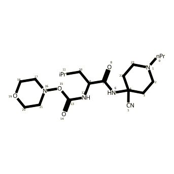 CCCN1CCC(C#N)(NC(=O)C(CC(C)C)NC(=O)ON2CCOCC2)CC1